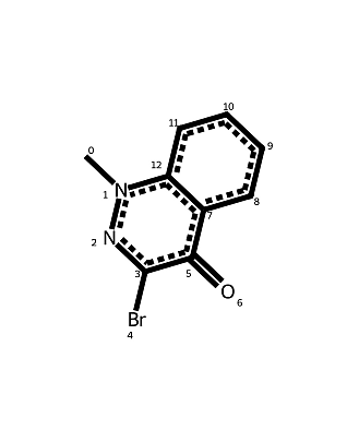 Cn1nc(Br)c(=O)c2ccccc21